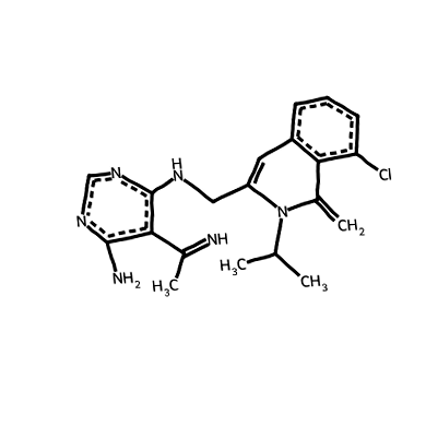 C=C1c2c(Cl)cccc2C=C(CNc2ncnc(N)c2C(C)=N)N1C(C)C